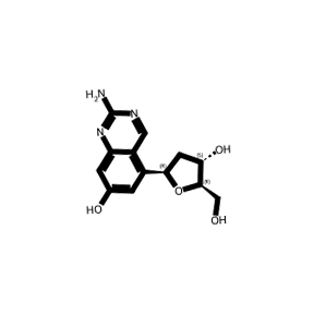 Nc1ncc2c([C@H]3C[C@H](O)[C@@H](CO)O3)cc(O)cc2n1